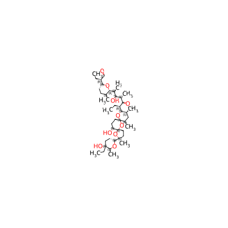 CC[C@@H](C=O)[C@H]1CC[C@H](C)[C@H]([C@@H](C)[C@H](O)[C@H](C)C(=O)[C@H](CC)[C@H]2O[C@]3(CC[C@@H](O)[C@]4(CC[C@@](C)([C@H]5CC[C@](O)(CC)[C@H](C)O5)O4)O3)[C@H](C)C[C@@H]2C)O1